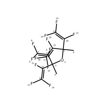 CC(OC(C)(C(F)=C(F)F)C(F)=C(F)F)(C(F)=C(F)F)C(F)=C(F)F